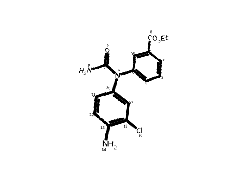 CCOC(=O)c1cccc(N(C(N)=O)c2[c]cc(N)c(Cl)c2)c1